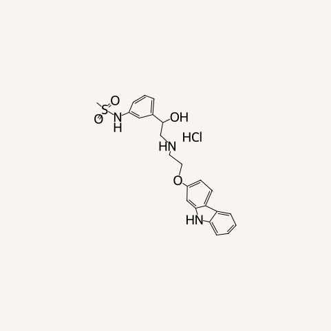 CS(=O)(=O)Nc1cccc(C(O)CNCCOc2ccc3c(c2)[nH]c2ccccc23)c1.Cl